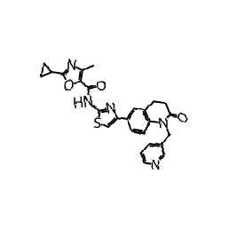 Cc1nc(C2CC2)oc1C(=O)Nc1nc(-c2ccc3c(c2)CCC(=O)N3Cc2cccnc2)cs1